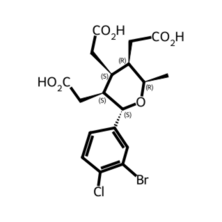 C[C@H]1O[C@H](c2ccc(Cl)c(Br)c2)[C@@H](CC(=O)O)[C@@H](CC(=O)O)[C@H]1CC(=O)O